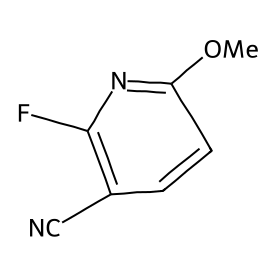 COc1ccc(C#N)c(F)n1